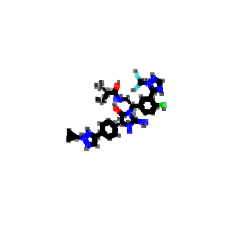 C[C@@H](C(=O)NC[C@H](c1ccc(Cl)c(-c2ncnn2C(F)F)c1)N1C(=N)N[C@H](c2ccc(-c3cnn(C4CC4)n3)cc2)C1=O)C(F)(F)F